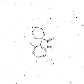 Cc1ccccc1C1(C(N)=O)CCNCC1